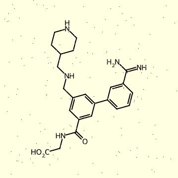 N=C(N)c1cccc(-c2cc(CNCC3CCNCC3)cc(C(=O)NCC(=O)O)c2)c1